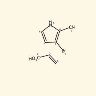 C=CC(=O)O.N#Cc1[nH]ccc1Br